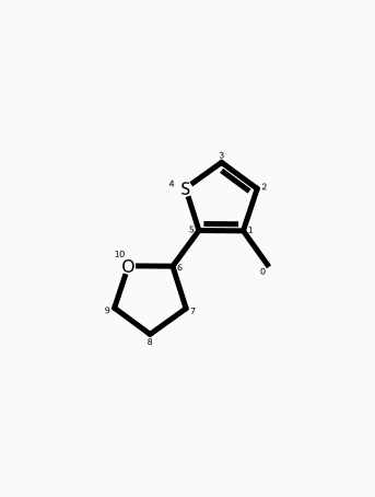 Cc1ccsc1C1CCCO1